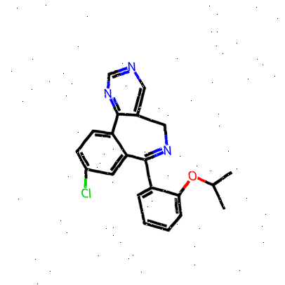 CC(C)Oc1ccccc1C1=NCc2cncnc2-c2ccc(Cl)cc21